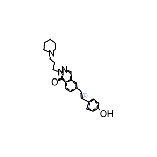 O=c1c2ccc(/C=C/c3ccc(O)cc3)cc2cnn1CCCN1CCCCC1